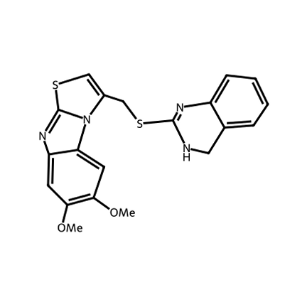 COc1cc2nc3scc(CSC4=Nc5ccccc5CN4)n3c2cc1OC